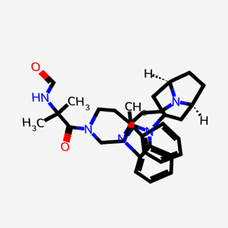 Cc1nc2ccccc2n1C1C[C@H]2CC[C@@H](C1)N2CCC1(c2ccccc2)CCN(C(=O)C(C)(C)NC=O)CC1